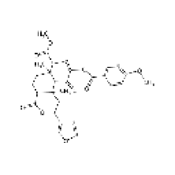 COC(=O)C1C=C(OC(=O)c2ccc(OC)nc2)C(=O)C2C1(C)CCC1C(=O)OC(c3ccoc3)CC12C